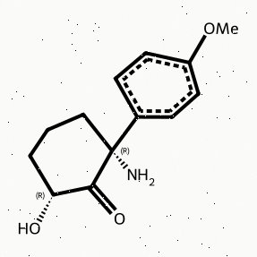 COc1ccc([C@]2(N)CCC[C@@H](O)C2=O)cc1